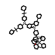 Cc1ccccc1[Si](c1ccccc1)(c1ccccc1)c1ccccc1[SiH](c1ccccc1)c1ccc(-n2c3ccc(-c4ccccc4)cc3c3cc(N(c4ccc(C(C)(C)c5ccccc5)cc4)c4ccc(C(C)(C)c5ccccc5)cc4)ccc32)cc1